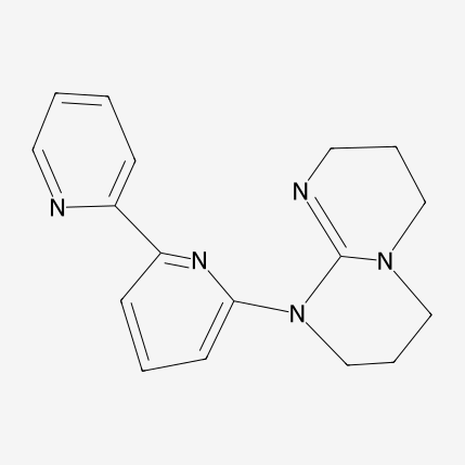 c1ccc(-c2cccc(N3CCCN4CCCN=C43)n2)nc1